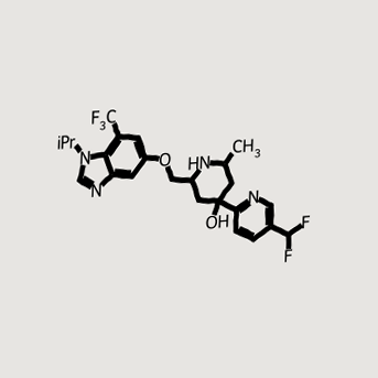 CC1CC(O)(c2ccc(C(F)F)cn2)CC(COc2cc(C(F)(F)F)c3c(c2)ncn3C(C)C)N1